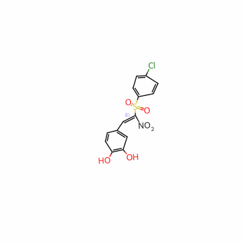 O=[N+]([O-])/C(=C\c1ccc(O)c(O)c1)S(=O)(=O)c1ccc(Cl)cc1